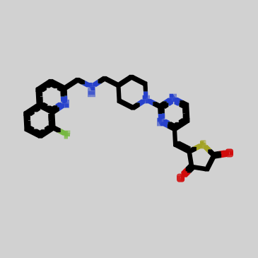 O=C1CC(=O)/C(=C/c2ccnc(N3CCC(CNCc4ccc5cccc(F)c5n4)CC3)n2)S1